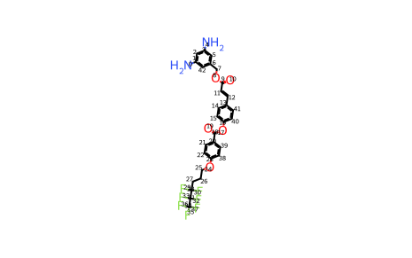 Nc1cc(N)cc(COC(=O)/C=C/c2ccc(OC(=O)c3ccc(OCCCC(F)(F)C(F)(F)C(F)(F)F)cc3)cc2)c1